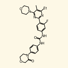 CCc1nc(-c2ccc(NC(=O)Nc3ccc(N4CCOCC4=O)cc3)cc2F)nc(N2CCOCC2)c1C